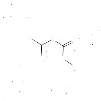 CCCC(CCC)NC(=O)OI